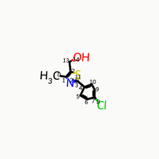 Cc1nc(-c2ccc(Cl)cc2)sc1CO